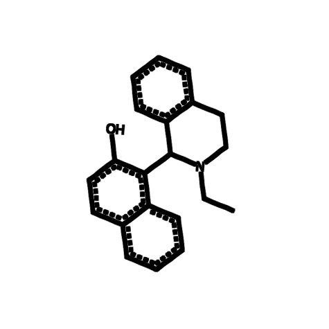 CCN1CCc2ccccc2C1c1c(O)ccc2ccccc12